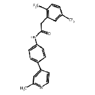 Cc1cc(-c2ccc(NC(=O)Cc3cc(C(F)(F)F)ccc3C(F)(F)F)cc2)ccn1